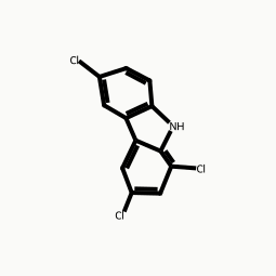 Clc1ccc2[nH]c3c(Cl)cc(Cl)cc3c2c1